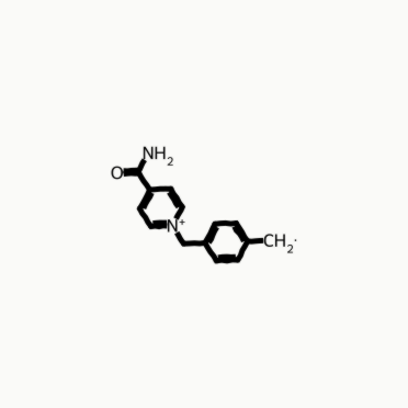 [CH2]c1ccc(C[n+]2ccc(C(N)=O)cc2)cc1